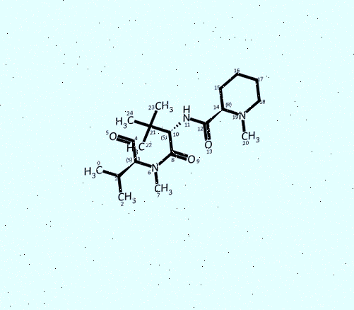 CC(C)[C@@H](C=O)N(C)C(=O)[C@@H](NC(=O)[C@H]1CCCCN1C)C(C)(C)C